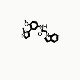 COc1ccc(NC(=O)Cn2ccc3ccccc32)cc1-c1ccnn1C